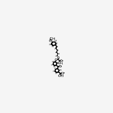 COc1ccc(C=CCCCCOC(Oc2cccc(C(=O)c3cccc(C(=O)O)c3)c2)C(=O)O)cc1